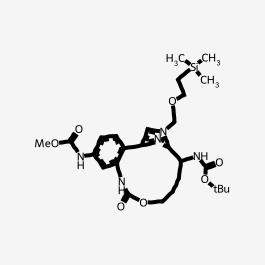 COC(=O)Nc1ccc2c(c1)NC(=O)OCCCC(NC(=O)OC(C)(C)C)c1nc-2cn1COCC[Si](C)(C)C